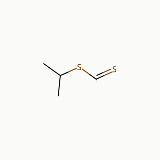 CC(C)S[C]=S